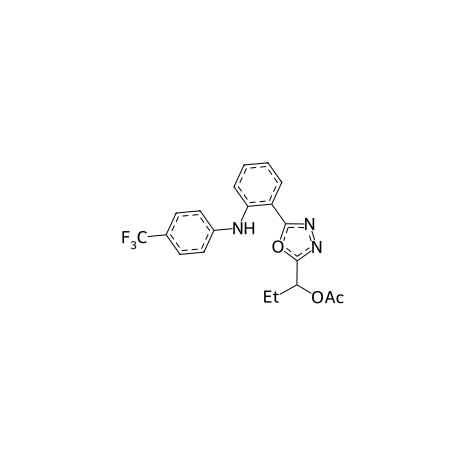 CCC(OC(C)=O)c1nnc(-c2ccccc2Nc2ccc(C(F)(F)F)cc2)o1